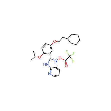 CC(C)Oc1ccc(OCCC2CCCCC2)cc1C1Nc2ncccc2N1OC(=O)C(F)(F)F